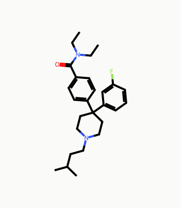 CCN(CC)C(=O)c1ccc(C2(c3cccc(F)c3)CCN(CCC(C)C)CC2)cc1